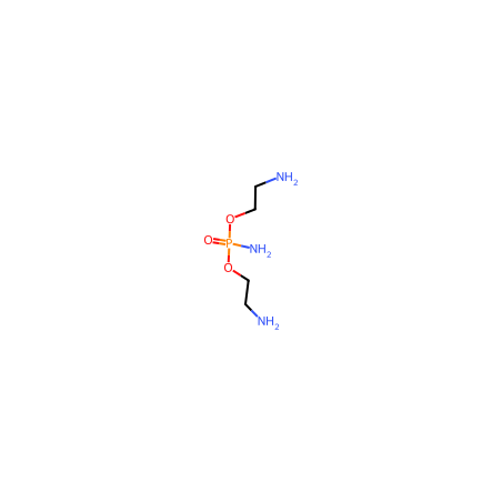 NCCOP(N)(=O)OCCN